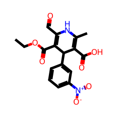 CCOC(=O)C1=C(C=O)NC(C)=C(C(=O)O)C1c1cccc([N+](=O)[O-])c1